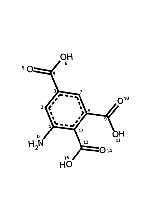 Nc1cc(C(=O)O)cc(C(=O)O)c1C(=O)O